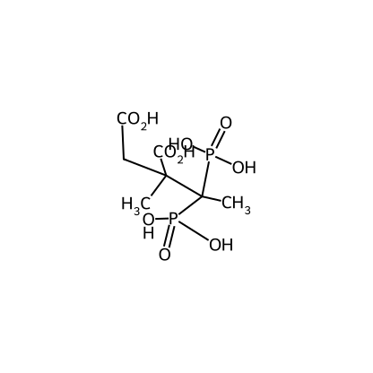 CC(CC(=O)O)(C(=O)O)C(C)(P(=O)(O)O)P(=O)(O)O